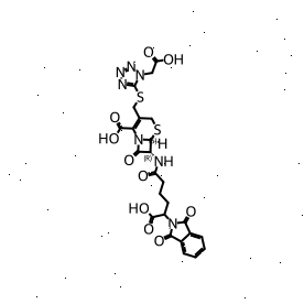 O=C(O)Cn1nnnc1SCC1=C(C(=O)O)N2C(=O)[C@@H](NC(=O)CCCC(C(=O)O)N3C(=O)c4ccccc4C3=O)[C@@H]2SC1